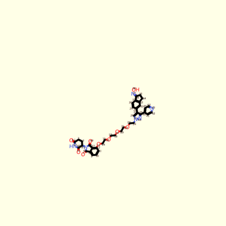 O=C1CCC(N2C(=O)c3cccc(OCCOCCOCCOCCn4cc(-c5ccc6c(c5)CC/C6=N\O)c(-c5ccncc5)n4)c3C2=O)C(=O)N1